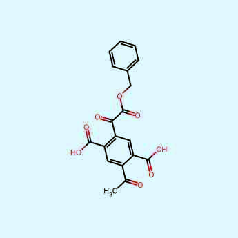 CC(=O)c1cc(C(=O)O)c(C(=O)C(=O)OCc2ccccc2)cc1C(=O)O